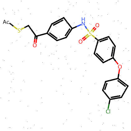 CC(=O)SCC(=O)c1ccc(NS(=O)(=O)c2ccc(Oc3ccc(Cl)cc3)cc2)cc1